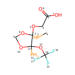 CPC1(OCC(=O)O)OCOC1(P)OC(F)(F)F